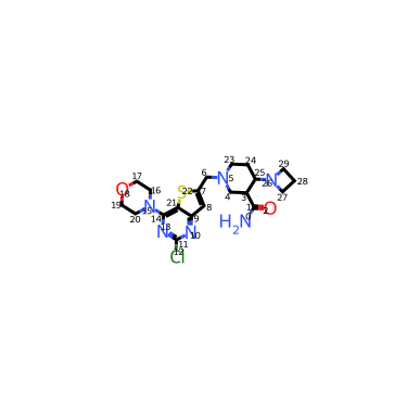 NC(=O)C1CN(Cc2cc3nc(Cl)nc(N4CCOCC4)c3s2)CCC1N1CCC1